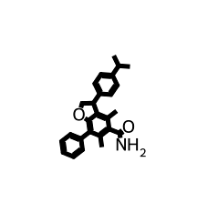 Cc1c(C(N)=O)c(C)c2c(c1-c1ccccc1)OCC2c1ccc(C(C)C)cc1